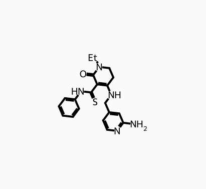 CCN1CCC(NCc2ccnc(N)c2)=C(C(=S)Nc2ccccc2)C1=O